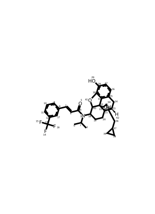 CC(C)N(C(=O)/C=C/c1cccc(C(F)(F)F)c1)C1CC[C@@]2(O)[C@H]3Cc4ccc(O)c5c4[C@@]2(CCN3CC2CC2)C1O5